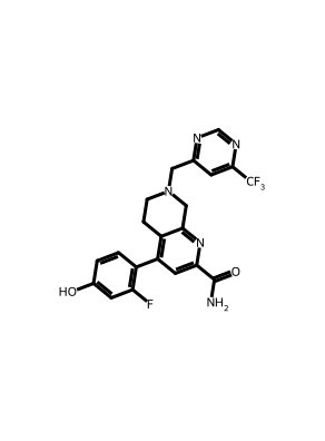 NC(=O)c1cc(-c2ccc(O)cc2F)c2c(n1)CN(Cc1cc(C(F)(F)F)ncn1)CC2